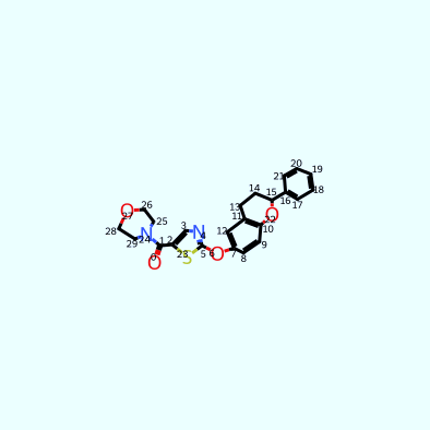 O=C(c1cnc(Oc2ccc3c(c2)CCC(c2ccccc2)O3)s1)N1CCOCC1